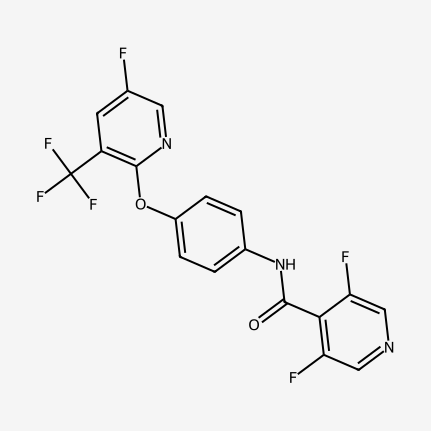 O=C(Nc1ccc(Oc2ncc(F)cc2C(F)(F)F)cc1)c1c(F)cncc1F